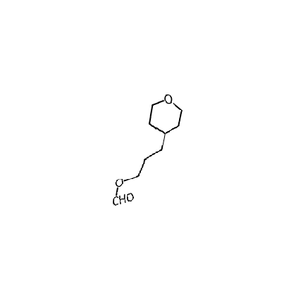 O=COCCCC1CCOCC1